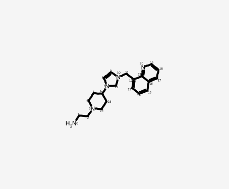 NCCN1CCC(N2C=CN(Cc3cccc4cccnc34)C2)CC1